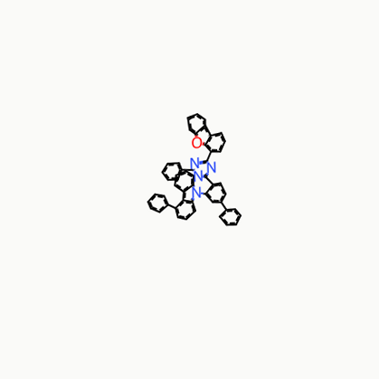 c1ccc(-c2ccc(-c3nc(-c4ccccc4)nc(-c4cccc5c4oc4ccccc45)n3)c(-n3c4ccccc4c4c(-c5ccccc5)cccc43)c2)cc1